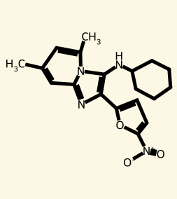 Cc1cc(C)n2c(NC3CCCCC3)c(-c3ccc([N+](=O)[O-])o3)nc2c1